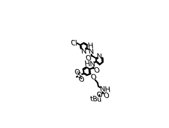 CC(C)(C)OC(=O)NCCCOc1cc(S(C)(=O)=O)ccc1C(=O)Nc1cccnc1C(=O)Nc1ccc(Cl)cn1